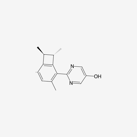 Cc1c[c]c2c(c1-c1ncc(O)cn1)[C@@H](C)[C@@H]2C